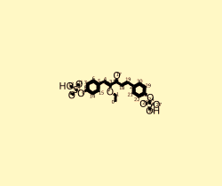 CCOC(=Cc1ccc(OS(=O)(=O)O)cc1)C(=O)C=Cc1ccc(OS(=O)(=O)O)cc1